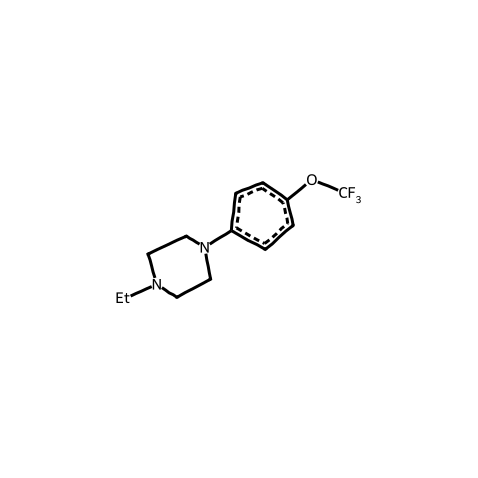 CCN1CCN(c2ccc(OC(F)(F)F)cc2)CC1